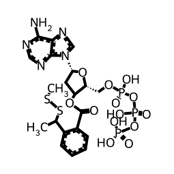 CSSC(C)c1ccccc1C(=O)OC1C[C@H](n2cnc3c(N)ncnc32)O[C@@H]1COP(=O)(O)OP(=O)(O)OP(=O)(O)O